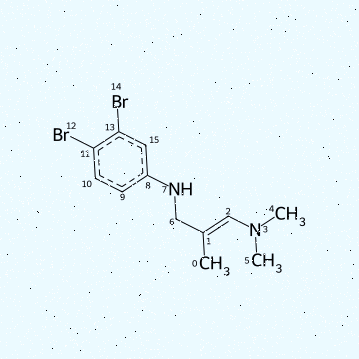 CC(=CN(C)C)CNc1ccc(Br)c(Br)c1